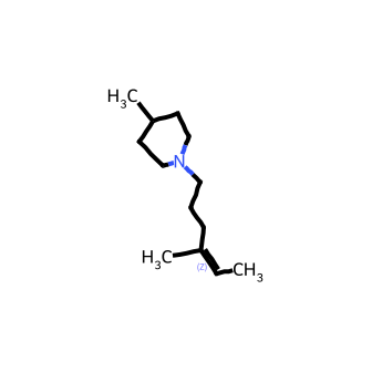 C/C=C(/C)CCCN1CCC(C)CC1